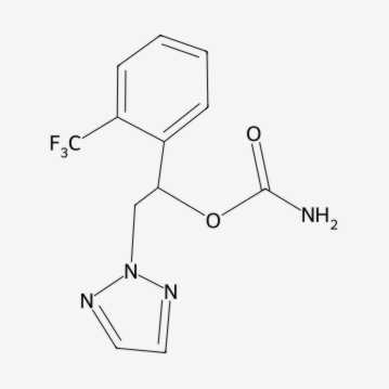 NC(=O)OC(Cn1nccn1)c1ccccc1C(F)(F)F